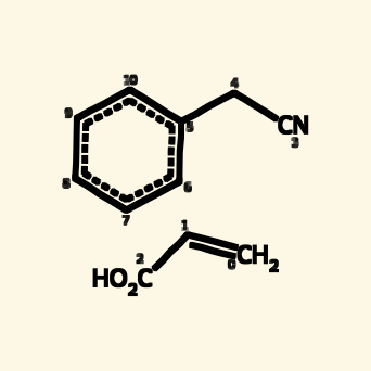 C=CC(=O)O.N#CCc1ccccc1